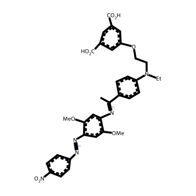 CCN(CCOc1cc(C(=O)O)cc(C(=O)O)c1)c1ccc(/C(C)=N/c2cc(OC)c(/N=N/c3ccc([N+](=O)[O-])cc3)cc2OC)cc1